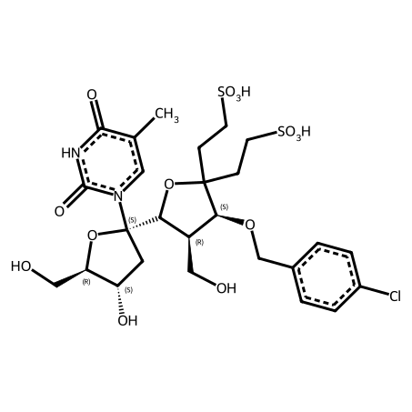 Cc1cn([C@@]2(C3OC(CCS(=O)(=O)O)(CCS(=O)(=O)O)[C@@H](OCc4ccc(Cl)cc4)[C@H]3CO)C[C@H](O)[C@@H](CO)O2)c(=O)[nH]c1=O